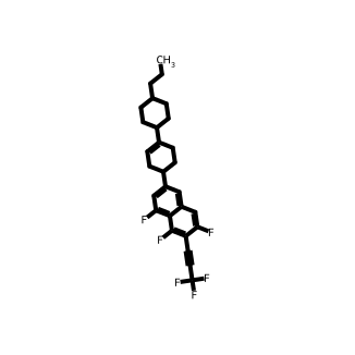 CCCC1CCC(C2=CCC(c3cc(F)c4c(F)c(C#CC(F)(F)F)c(F)cc4c3)CC2)CC1